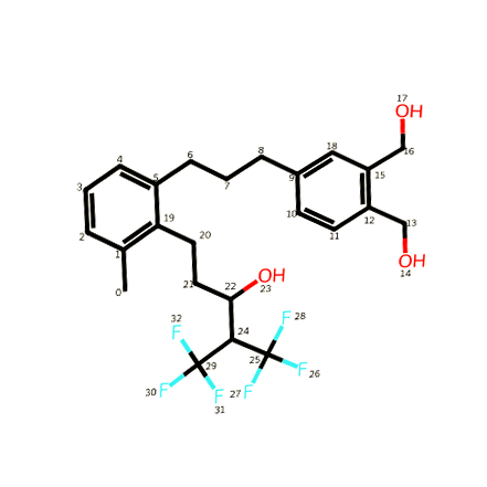 Cc1cccc(CCCc2ccc(CO)c(CO)c2)c1CCC(O)C(C(F)(F)F)C(F)(F)F